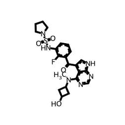 CN(c1ncnc2[nH]cc(C(=O)c3cccc(NS(=O)(=O)N4CCCC4)c3F)c12)C1CC(O)C1